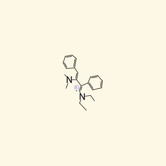 CCN(/[C]=C(/C(=Cc1ccccc1)N(C)C)c1ccccc1)CC